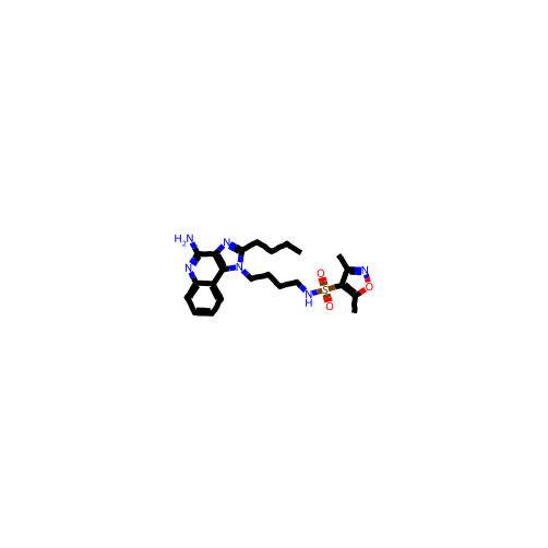 CCCCc1nc2c(N)nc3ccccc3c2n1CCCCNS(=O)(=O)c1c(C)noc1C